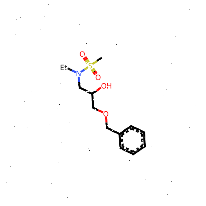 CCN(CC(O)COCc1ccccc1)S(C)(=O)=O